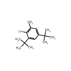 Cc1cc(C(C)(C)C)cc(C(C)(C)C)c1Cl